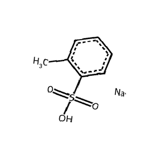 Cc1ccccc1S(=O)(=O)O.[Na]